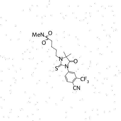 CNS(=O)(=O)CCCCN1C(=S)N(c2ccc(C#N)c(C(F)(F)F)c2)C(=O)C1(C)C